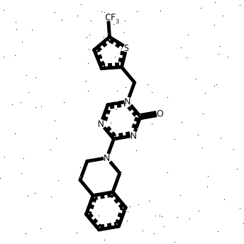 O=c1nc(N2CCc3ccccc3C2)ncn1Cc1ccc(C(F)(F)F)s1